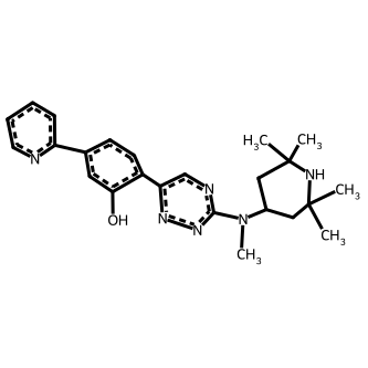 CN(c1ncc(-c2ccc(-c3ccccn3)cc2O)nn1)C1CC(C)(C)NC(C)(C)C1